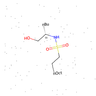 CCCCCCCCCCS(=O)(=O)N[C@H](CO)CCCC